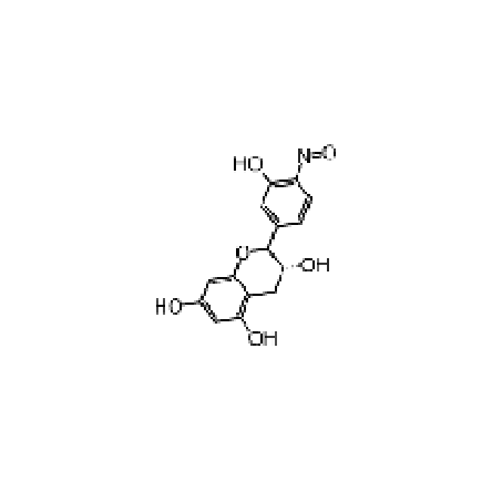 O=Nc1ccc(C2Oc3cc(O)cc(O)c3C[C@H]2O)cc1O